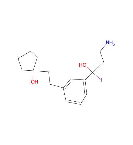 NCCC(O)(I)c1cccc(CCC2(O)CCCC2)c1